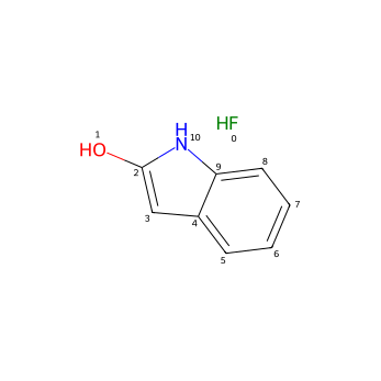 F.Oc1cc2ccccc2[nH]1